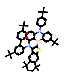 Cc1cc2c3c(c1)N(c1ccc(C(C)(C)C)cc1-c1ccc(C(C)(C)C)cc1)c1c(sc4cc5c(cc14)C(C)(C)CCC5(C)C)B3c1cc(C(C)(C)C)ccc1N2c1ccc(C(C)(C)C)cc1